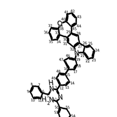 NC(/N=C(\NCc1ccccc1)c1ccc(-c2ccc(-n3c4ccccc4c4cc5c(cc43)-c3ccccc3Oc3ccccc3-5)cc2)cc1)C1=CC=CCC1